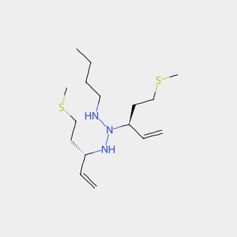 C=C[C@H](CCSC)NN(NCCCC)[C@H](C=C)CCSC